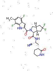 Cc1cc(F)c2cc(C(=O)N3C[C@@H]4CC(F)(F)C[C@@H]4[C@H]3C(=O)N[C@@H](C#N)C[C@H]3CCCNC3=O)[nH]c2c1F